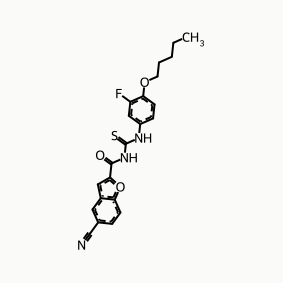 CCCCCOc1ccc(NC(=S)NC(=O)c2cc3cc(C#N)ccc3o2)cc1F